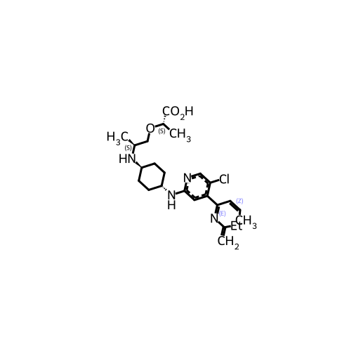 C=C(CC)/N=C(\C=C/C)c1cc(N[C@H]2CC[C@H](N[C@@H](C)CO[C@@H](C)C(=O)O)CC2)ncc1Cl